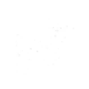 C1=CC(C2=C(c3ccccc3)NC3C=CC=CC3N2)CC(n2c3ccccc3c3cc4c5ccccc5n(-c5ccccc5)c4cc32)=C1